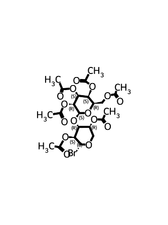 CC(=O)OC[C@H]1O[C@@H](O[C@H]2[C@H](OC(C)=O)[C@@H](Br)OC[C@H]2OC(C)=O)[C@H](OC(C)=O)[C@@H](OC(C)=O)[C@H]1OC(C)=O